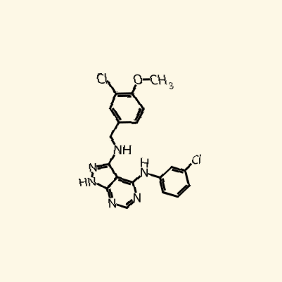 COc1ccc(CNc2n[nH]c3ncnc(Nc4cccc(Cl)c4)c23)cc1Cl